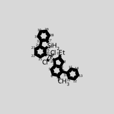 CCC1=Cc2c(ccc(C)c2-c2ccccc2)[CH]1[Zr]([Cl])([Cl])[c]1cccc2c1[SiH2]c1ccccc1-2